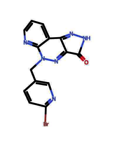 O=c1[nH]nc2c3cccnc3n(Cc3ccc(Br)nc3)nc1-2